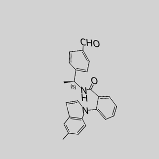 Cc1ccc2c(ccn2-c2ccccc2C(=O)N[C@@H](C)c2ccc(C=O)cc2)c1